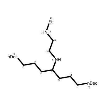 CCCCCCCCCCCCCC(CCCCCCCCCCCCC)NCCNCC